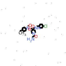 CCc1ccc(N(C=O)OCC2(C(=O)NCc3ccc(Cl)cc3)CCN(C(=O)CN)CC2)cc1